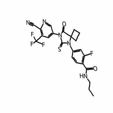 CCCNC(=O)c1ccc(N2C(=S)N(c3cnc(C#N)c(C(F)(F)F)c3)C(=O)C23CCC3)cc1F